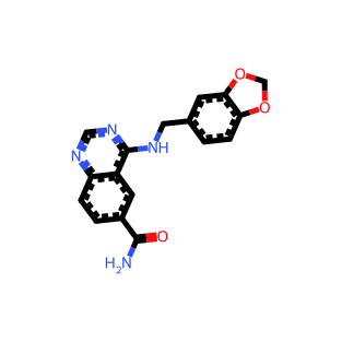 NC(=O)c1ccc2ncnc(NCc3ccc4c(c3)OCO4)c2c1